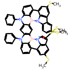 CSc1ccc2c(c1)c1cc(SC)cc3c1n2B1c2cc4c(cc2N(c2ccccc2)c2cccc-3c21)N(c1ccccc1)c1cccc2c1B4n1c3ccc(SC)cc3c3cc(SC)cc-2c31